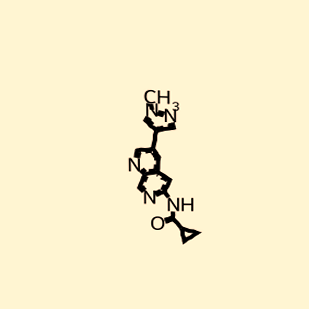 Cn1cc(-c2cnc3cnc(NC(=O)C4CC4)cc3c2)cn1